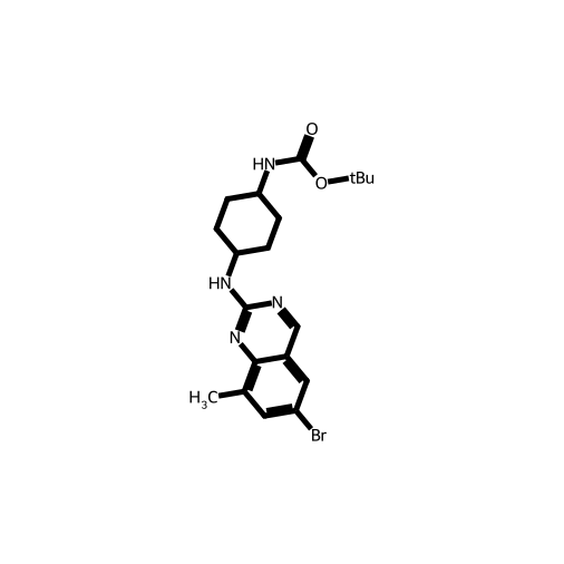 Cc1cc(Br)cc2cnc(NC3CCC(NC(=O)OC(C)(C)C)CC3)nc12